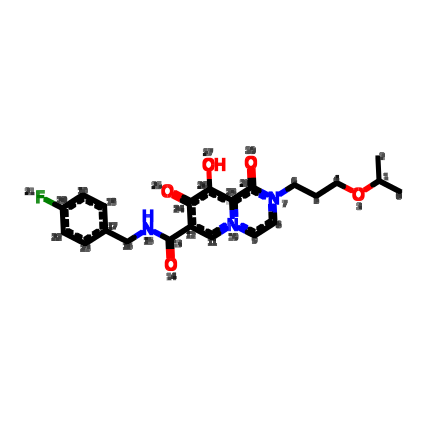 CC(C)OCCCn1ccn2cc(C(=O)NCc3ccc(F)cc3)c(=O)c(O)c2c1=O